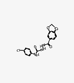 O=C(NNC(=O)c1ccc2c(c1)OCO2)Nc1ccc(Cl)cc1